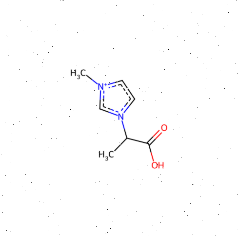 CC(C(=O)O)n1cc[n+](C)c1